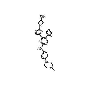 CN1CCN(c2ccc(Nc3ncc(-c4cncs4)c(-c4cnc(N5CC(O)C5)s4)n3)cc2)CC1